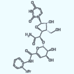 CCCc1ccccc1NC(=O)C1=C[C@H](O)[C@H](O)[C@@H](O[C@@H](C(N)=O)[C@H]2O[C@@H](n3ccc(=O)[nH]c3=O)[C@H](O)[C@@H]2CO)O1